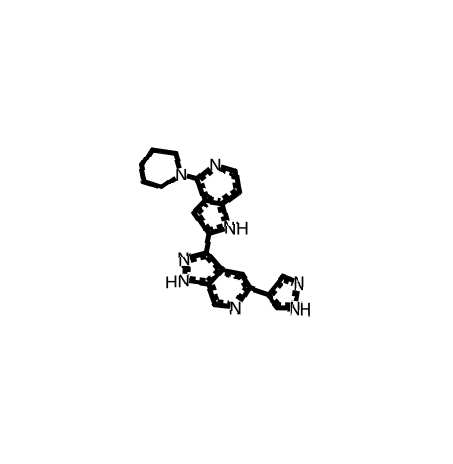 c1cc2[nH]c(-c3n[nH]c4cnc(-c5cn[nH]c5)cc34)cc2c(N2CCCCC2)n1